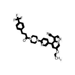 CCOc1cc(-c2ccc(N3CCN(C(=O)CCc4ccc(C(F)(F)F)cc4)CC3)nc2)c2c(C#N)cnn2c1